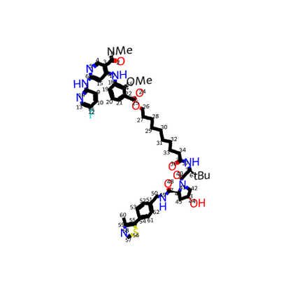 CNC(=O)c1cnc(Nc2ccc(F)cn2)cc1Nc1cccc(C(=O)OCCCCCCCCCC(=O)N[C@H](C(=O)N2C[C@H](O)C[C@H]2C(=O)NCc2ccc(-c3scnc3C)cc2)C(C)(C)C)c1OC